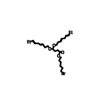 CCC=CCC=CCCOC(CCC(=O)OCCCCCCBr)OCCC=CCC=CCC